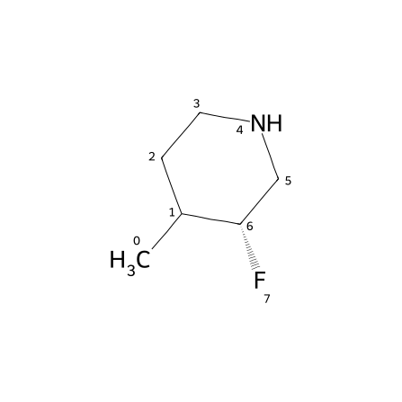 CC1CCNC[C@@H]1F